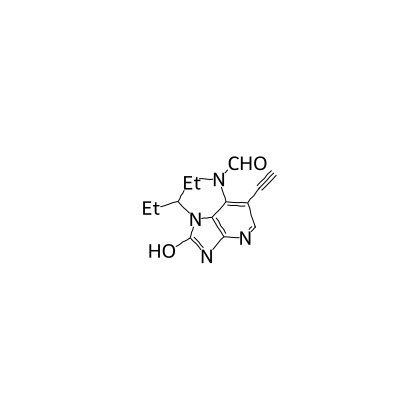 C#Cc1cnc2nc(O)n(C(CC)CC)c2c1N(C)C=O